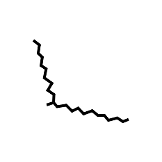 CCCCCCCCCCCCC(C)CCCCCCCCCC